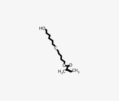 CC=C(C)C(=O)OCCCCCCCCCCCCCO